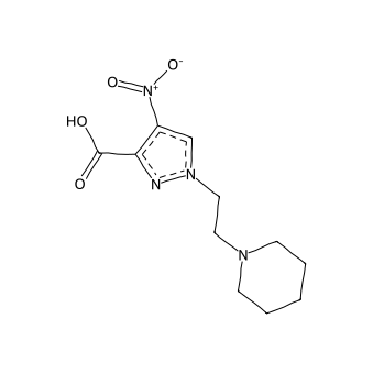 O=C(O)c1nn(CCN2CCCCC2)cc1[N+](=O)[O-]